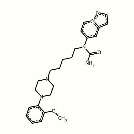 COc1ccccc1N1CCN(CCCCCN(C(N)=O)c2ccn3nccc3c2)CC1